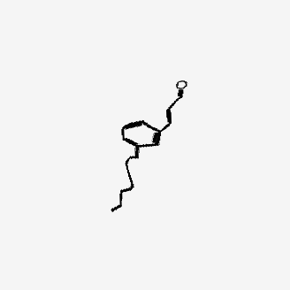 CCCCCCc1cccc(/C=C/C=O)c1